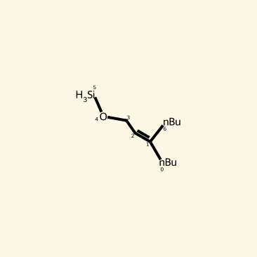 CCCCC(=CCO[SiH3])CCCC